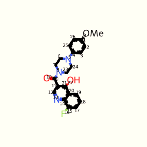 COc1ccc(N2CCN(C(=O)c3cnc4c(F)cccc4c3O)CC2)cc1